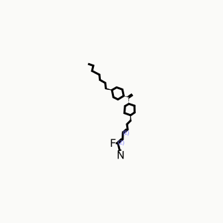 C=C([C@H]1CC[C@H](CC/C=C/C=C(\F)C#N)CC1)[C@H]1CC[C@H](CCCCCCC)CC1